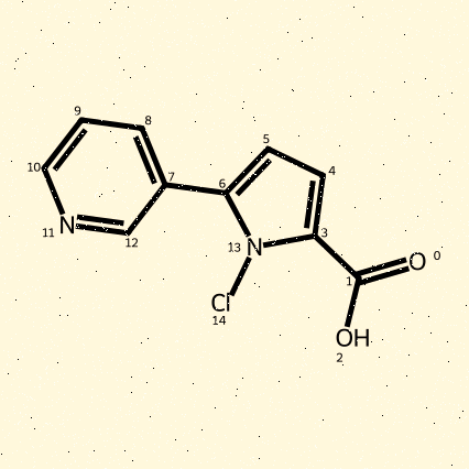 O=C(O)c1ccc(-c2cccnc2)n1Cl